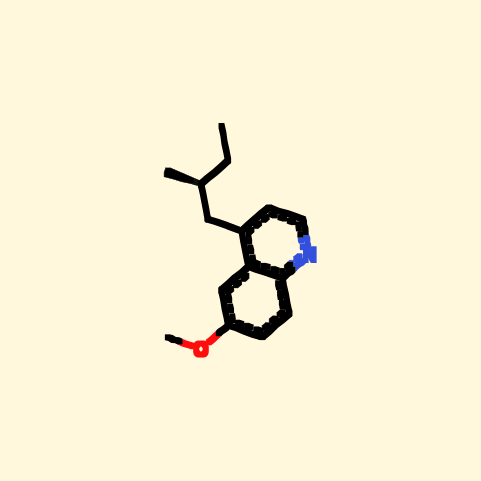 CC[C@H](C)Cc1ccnc2ccc(OC)cc12